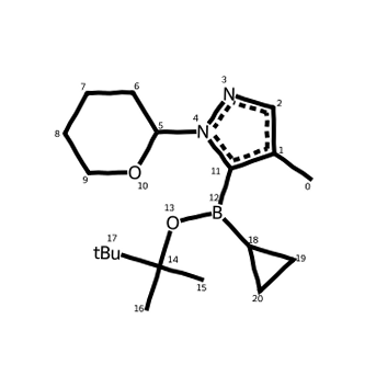 Cc1cnn(C2CCCCO2)c1B(OC(C)(C)C(C)(C)C)C1CC1